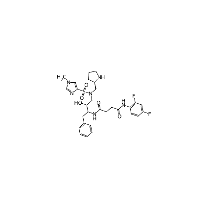 Cn1cnc(S(=O)(=O)N(CC(O)C(Cc2ccccc2)NC(=O)CCC(=O)Nc2ccc(F)cc2F)C[C@H]2CCCN2)c1